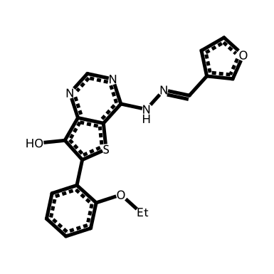 CCOc1ccccc1-c1sc2c(NN=Cc3ccoc3)ncnc2c1O